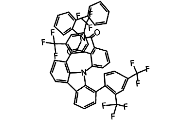 O=C1c2cccc(-n3c4c(-c5ccc(C(F)(F)F)cc5C(F)(F)F)cccc4c4cccc(-c5ccc(C(F)(F)F)cc5C(F)(F)F)c43)c2C(=O)N1c1ccccc1-c1ccccc1